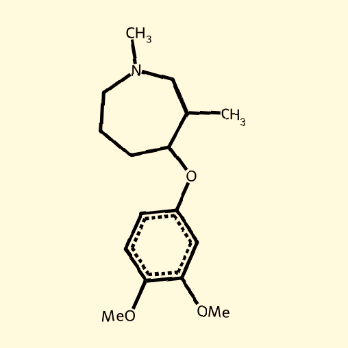 COc1ccc(OC2CCCN(C)CC2C)cc1OC